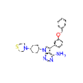 Nc1ncnc2c1c(-c1cccc(OCc3ccccc3)c1)cn2C1CCC(N2CCSCC2)CC1